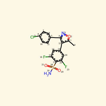 Cc1onc(-c2ccc(Cl)cc2)c1-c1cc(F)c(S(N)(=O)=O)c(F)c1